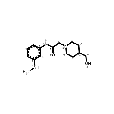 CNc1cccc(NC(=O)CN2CCC(CO)CC2)c1